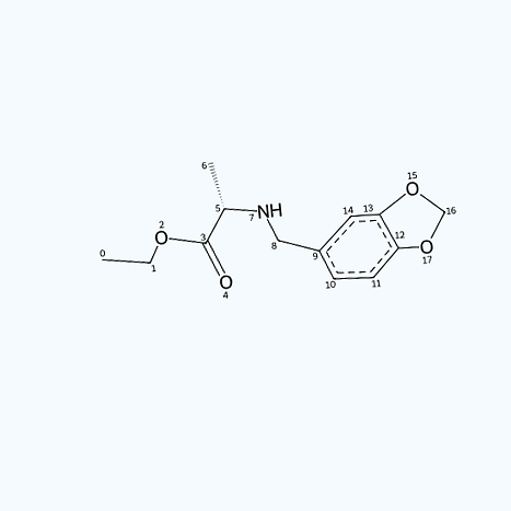 CCOC(=O)[C@H](C)NCc1ccc2c(c1)OCO2